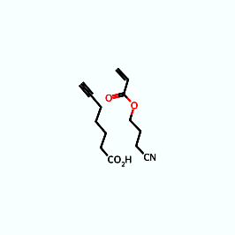 C#CCCCCC(=O)O.C=CC(=O)OCCCC#N